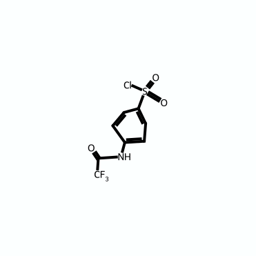 O=C(Nc1ccc(S(=O)(=O)Cl)cc1)C(F)(F)F